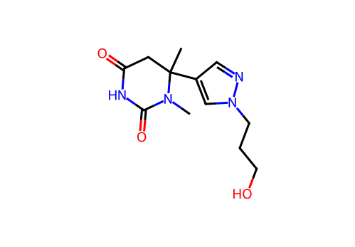 CN1C(=O)NC(=O)CC1(C)c1cnn(CCCO)c1